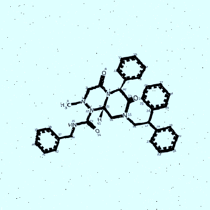 CN1CC(=O)N2[C@@H](c3ccccc3)C(=O)N(CC(c3ccccc3)c3ccccc3)C[C@@H]2N1C(=O)NCc1ccccc1